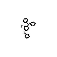 [I-].c1ccc(Sc2ccc([S+](c3ccccc3)c3ccccc3)cc2)cc1